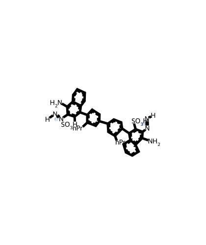 [H]/N=N/c1c(S(=O)(=O)O)c(-c2ccc(-c3ccc(-c4c(S(=O)(=O)O)c(/N=N/[H])c(N)c5ccccc45)c(CCC)c3)cc2CCC)c2ccccc2c1N